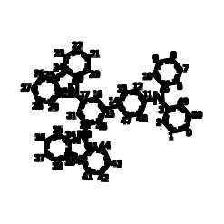 c1ccc(N(c2ccccc2)c2ccc(-c3cc(-n4c5ccccc5c5ccccc54)cc(-n4c5ccccc5c5ccccc54)c3)cc2)cc1